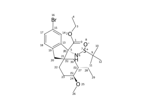 C=C(OCC)[C@]1(N[S+]([O-])C(C)(C)C)c2cc(Br)ccc2C[C@@]12CC[C@H](OC)[C@@H](CC)C2